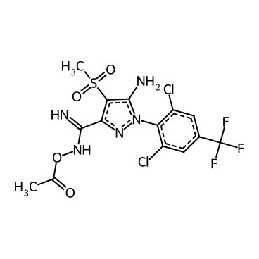 CC(=O)ONC(=N)c1nn(-c2c(Cl)cc(C(F)(F)F)cc2Cl)c(N)c1S(C)(=O)=O